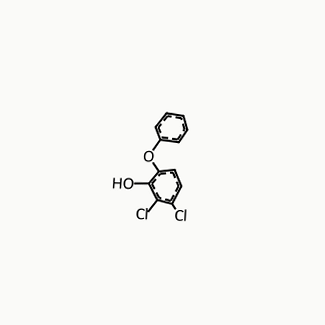 Oc1c(Oc2ccccc2)ccc(Cl)c1Cl